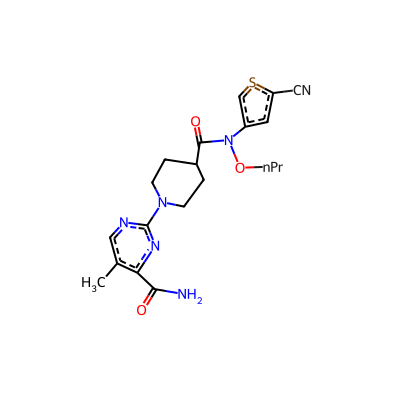 CCCON(C(=O)C1CCN(c2ncc(C)c(C(N)=O)n2)CC1)c1csc(C#N)c1